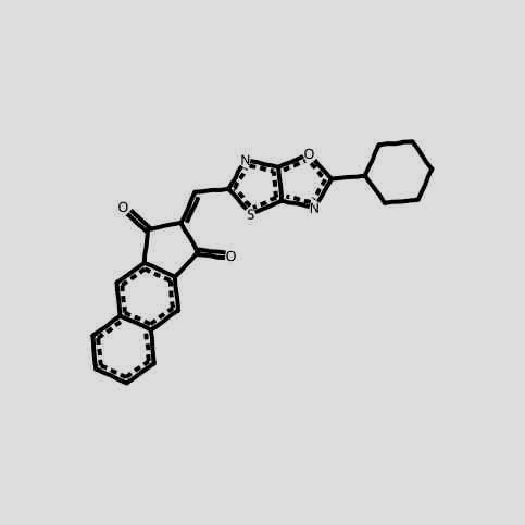 O=C1C(=Cc2nc3oc(C4CCCCC4)nc3s2)C(=O)c2cc3ccccc3cc21